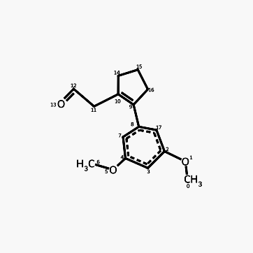 COc1cc(OC)cc(C2=C(CC=O)CCC2)c1